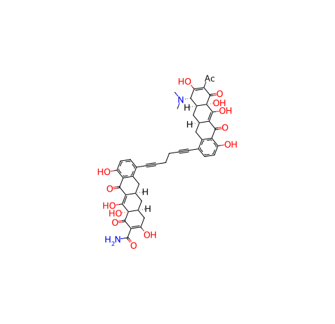 CC(=O)C1=C(O)[C@@H](N(C)C)[C@@H]2C[C@@H]3Cc4c(C#CCCC#Cc5ccc(O)c6c5C[C@H]5C[C@H]7CC(O)=C(C(N)=O)C(=O)[C@@]7(O)C(O)=C5C6=O)ccc(O)c4C(=O)C3=C(O)[C@]2(O)C1=O